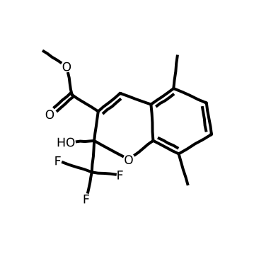 COC(=O)C1=Cc2c(C)ccc(C)c2OC1(O)C(F)(F)F